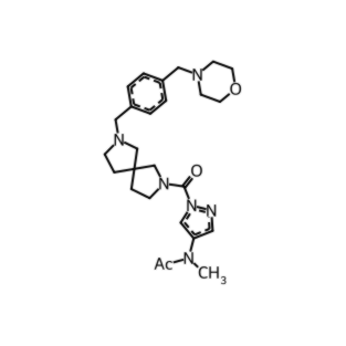 CC(=O)N(C)c1cnn(C(=O)N2CCC3(CCN(Cc4ccc(CN5CCOCC5)cc4)C3)C2)c1